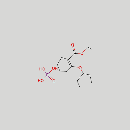 CCOC(=O)C1=C(OC(CC)CC)CCCC1.O=P(O)(O)O